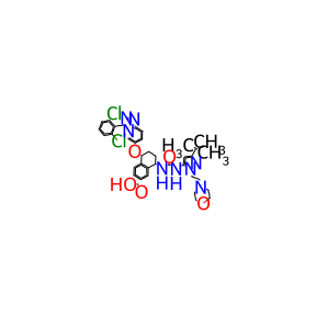 CC(C)(C)c1cc(NC(=O)N[C@H]2CC[C@@H](Oc3ccc4nnc(-c5c(Cl)cccc5Cl)n4c3)c3ccccc32)n(CCN2CCOCC2)n1.O=CO